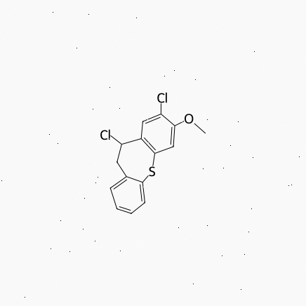 COc1cc2c(cc1Cl)C(Cl)Cc1ccccc1S2